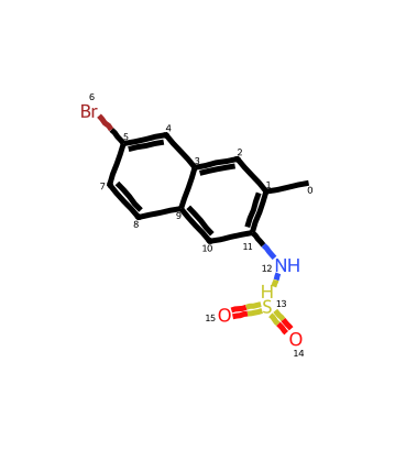 Cc1cc2cc(Br)ccc2cc1N[SH](=O)=O